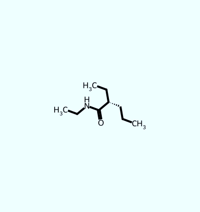 CCC[C@@H](CC)C(=O)NCC